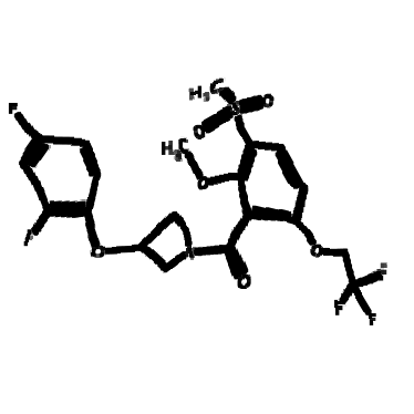 COc1c(S(C)(=O)=O)ccc(OCC(F)(F)F)c1C(=O)N1CC(Oc2ccc(F)cc2F)C1